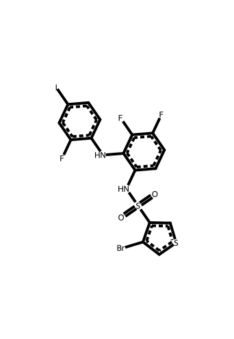 O=S(=O)(Nc1ccc(F)c(F)c1Nc1ccc(I)cc1F)c1cscc1Br